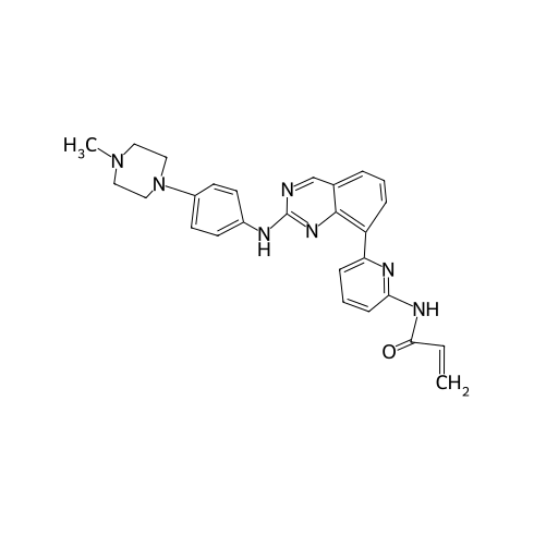 C=CC(=O)Nc1cccc(-c2cccc3cnc(Nc4ccc(N5CCN(C)CC5)cc4)nc23)n1